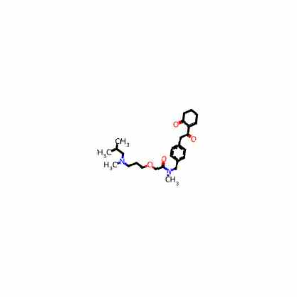 CC(C)CN(C)CCCOCC(=O)N(C)Cc1ccc(CC(=O)C2CCCCC2=O)cc1